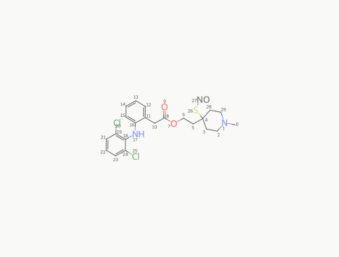 CN1CCC(CCOC(=O)Cc2ccccc2Nc2c(Cl)cccc2Cl)(SN=O)CC1